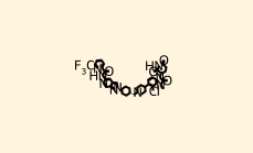 Cn1c(=O)n(C2CCC(=O)NC2=O)c2ccc(C3CCN(C[C@H]4CC[C@H](n5cc6cc(NC(=O)c7cccc(C(F)(F)F)n7)ncc6n5)CC4)CC3)c(Cl)c21